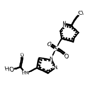 O=C(O)Nc1cnn(S(=O)(=O)c2ccc(Cl)nc2)c1